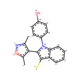 Cc1noc(C)c1-c1c(S)c2ccccc2n1-c1ccc(O)cc1